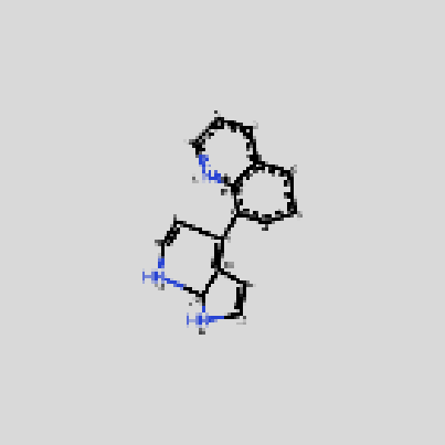 C1=CC(c2cccc3cccnc23)=C2C=CNC2N1